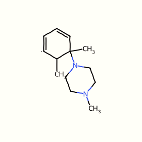 CC1[C]=CC=CC1(C)N1CCN(C)CC1